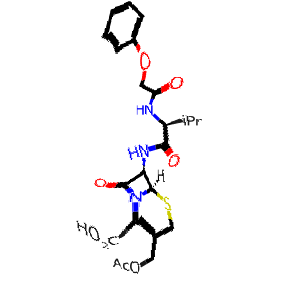 CC(=O)OCC1=C(C(=O)O)N2C(=O)[C@@H](NC(=O)[C@@H](NC(=O)COc3ccccc3)C(C)C)[C@H]2SC1